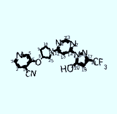 N#Cc1ccncc1O[C@H]1CCN(c2cc(-n3nc(C(F)(F)F)cc3O)ncn2)C1